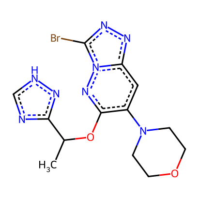 CC(Oc1nn2c(Br)nnc2cc1N1CCOCC1)c1nc[nH]n1